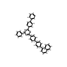 c1ccc(-c2ccc(-c3nc(-c4ccccc4)nc(-c4ccc(-c5ccc(-c6cccc7ccccc67)cc5)cc4)n3)cc2)cc1